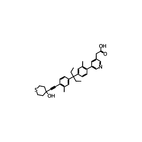 CCC(CC)(c1ccc(C#CC2(O)CCSCC2)c(C)c1)c1ccc(-c2cncc(CC(=O)O)c2)c(C)c1